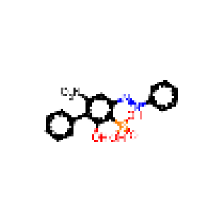 O=[N+]([O-])c1cc(N=Nc2ccccc2)c(P(=O)(O)O)c(O)c1-c1ccccc1